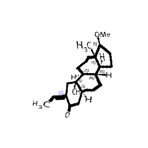 C/C=C1/C[C@@]2(C)[C@@H](CC[C@@H]3[C@@H]2CC[C@]2(C)[C@@H](OC)CC[C@@H]32)CC1=O